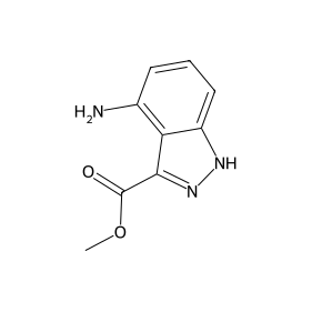 COC(=O)c1n[nH]c2cccc(N)c12